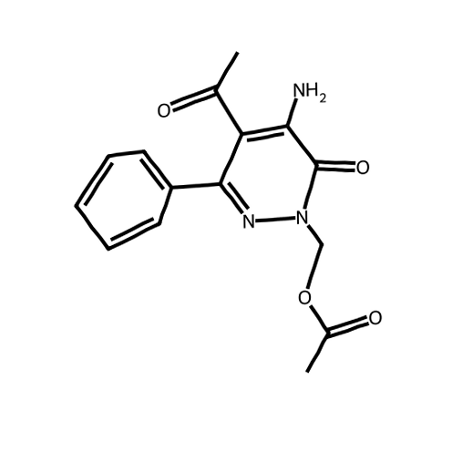 CC(=O)OCn1nc(-c2ccccc2)c(C(C)=O)c(N)c1=O